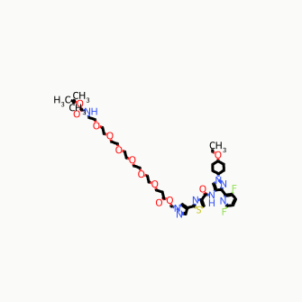 CCOC1CCC(n2cc(NC(=O)c3csc(-c4cnn(COC(=O)CCOCCOCCOCCOCCOCCOCCNC(=O)OC(C)(C)C)c4)n3)c(-c3nc(F)ccc3F)n2)CC1